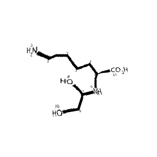 NCCCC[C@H](NC(O)CO)C(=O)O